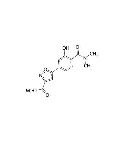 COC(=O)c1cc(-c2ccc(C(=O)N(C)C)c(O)c2)on1